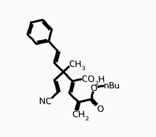 C=C(C=C(C(=O)O)C(C)(C=CC#N)C=Cc1ccccc1)C(=O)OCCCC